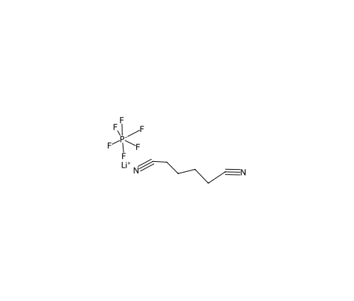 F[P-](F)(F)(F)(F)F.N#CCCCCC#N.[Li+]